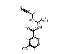 CC(NC(=O)c1cccc(Cl)c1)OCC#N